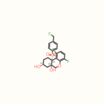 O=S(=O)(c1ccc(CF)cc1)[C@@]12CC[C@H](O)C[C@@]1(O)COc1c(F)ccc(F)c12